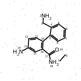 CC.NCc1ccccc1-c1ccc(N)cc1C(N)=O